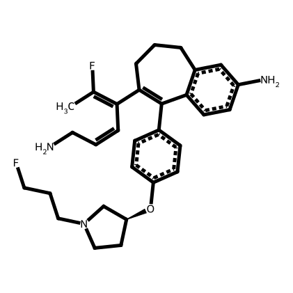 C/C(F)=C(\C=C/CN)C1=C(c2ccc(O[C@H]3CCN(CCCF)C3)cc2)c2ccc(N)cc2CCC1